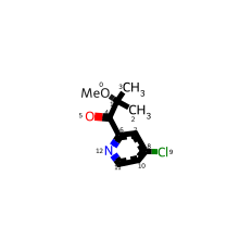 COC(C)(C)C(=O)c1cc(Cl)ccn1